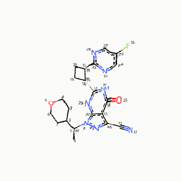 C[C@@H](C1CCOCC1)n1nc(C#N)c2c(=O)[nH]c([C@@H]3CC[C@H]3c3ncc(F)cn3)nc21